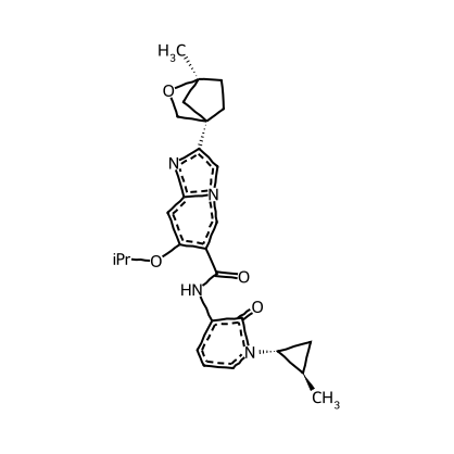 CC(C)Oc1cc2nc([C@@]34CC[C@@](C)(C3)OC4)cn2cc1C(=O)Nc1cccn([C@@H]2C[C@H]2C)c1=O